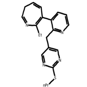 CCCSc1ncc(Cc2ncccc2C2=C(CC)N=CCC=C2)cn1